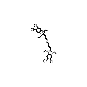 CCN1C(=C/C=C/C=C/C=C/C2N(CC)c3cc(Cl)c(Cl)cc3N2CC)N(CC)c2cc(Cl)c(Cl)cc21